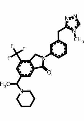 CC(c1cc2c(c(C(F)(F)F)c1)CN(c1cccc(Cc3nncn3C)c1)C2=O)N1CCCCC1